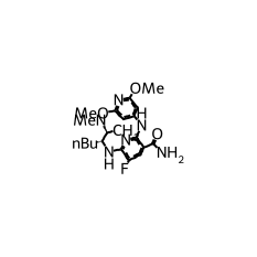 CCCC[C@@H](Nc1nc(Nc2cc(OC)nc(OC)c2)c(C(N)=O)cc1F)[C@H](C)NC